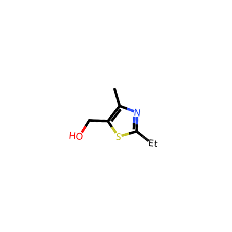 CCc1nc(C)c(CO)s1